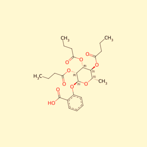 CCCC(=O)O[C@@H]1[C@@H](OC(=O)CCC)[C@H](C)O[C@@H](Oc2ccccc2C(=O)O)[C@@H]1OC(=O)CCC